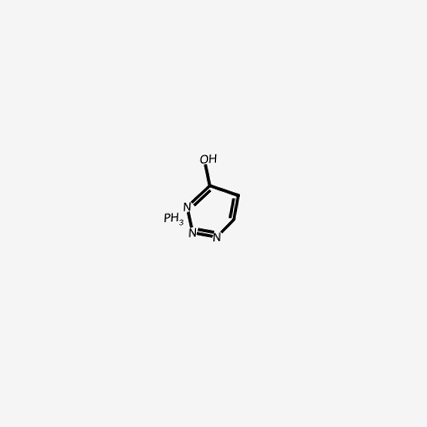 Oc1ccnnn1.P